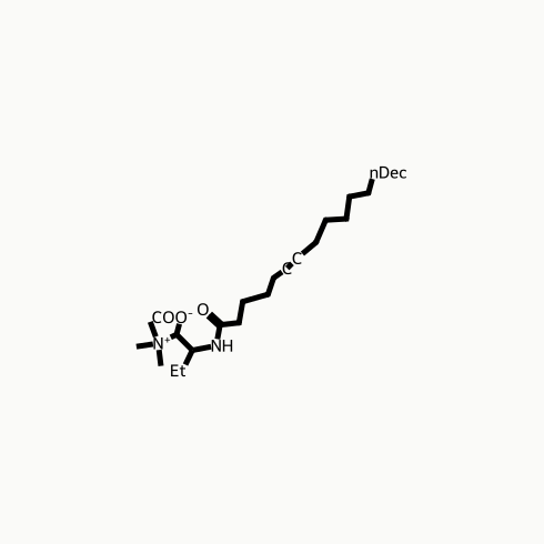 CCCCCCCCCCCCCCCCCCCCCC(=O)NC(CC)C(C(=O)[O-])[N+](C)(C)C